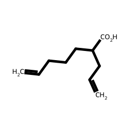 C=CCCCC(CC=C)C(=O)O